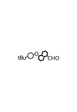 CC(C)(C)C1CCC(Oc2cccc3c(C=O)cccc23)CC1